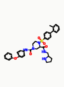 Cc1ccccc1-c1ccc(S(=O)(=O)N2CCN(C(=O)Nc3ccc(Oc4ccccc4)cc3)CC2C(=O)NCC2CCCN2)cc1